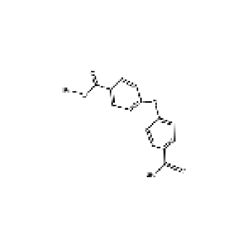 CC(C)(C)OC(=O)c1ccc(Oc2ccc(C(=O)C(C)(C)C)cc2)cc1